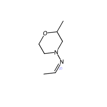 C/C=N\N1CCOC(C)C1